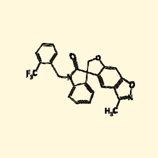 Cc1noc2cc3c(cc12)C1(CO3)C(=O)N(Cc2ccccc2C(F)(F)F)c2ccccc21